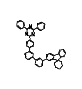 c1ccc(-c2nc(-c3ccccc3)nc(-c3ccc(-c4cccc(-c5cccc(-c6ccc7c(c6)C6(CCCCC6)c6ccccc6-7)c5)c4)cc3)n2)cc1